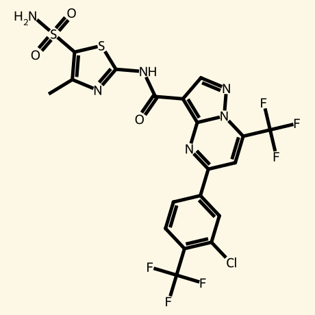 Cc1nc(NC(=O)c2cnn3c(C(F)(F)F)cc(-c4ccc(C(F)(F)F)c(Cl)c4)nc23)sc1S(N)(=O)=O